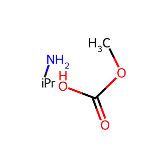 CC(C)N.COC(=O)O